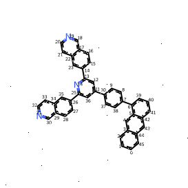 c1ccc2cc3c(-c4ccc(-c5cc(-c6ccc7cnccc7c6)nc(-c6ccc7cnccc7c6)c5)cc4)cccc3cc2c1